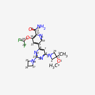 COC1(C)CN(c2cc(-c3cnc(C(N)=O)c(OC(F)F)c3)nc(N3CCC3)n2)C1